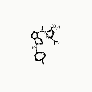 CC(=S)c1cc(C(=O)O)n(C(C)c2cccc3c2ccn3Nc2ccc(C)cc2)n1